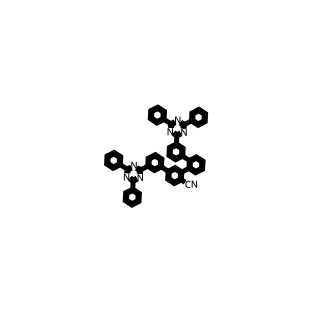 N#Cc1ccc(-c2cccc(-c3nc(-c4ccccc4)nc(-c4ccccc4)n3)c2)cc1-c1ccccc1-c1cccc(-c2nc(-c3ccccc3)nc(-c3ccccc3)n2)c1